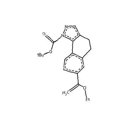 C=C(OCC)c1ccc2c(c1)CCc1cnn(C(=O)OC(C)(C)C)c1-2